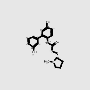 CN1CCC[C@H]1COC(=O)Nc1ccc(F)cc1-c1cccc(O)c1